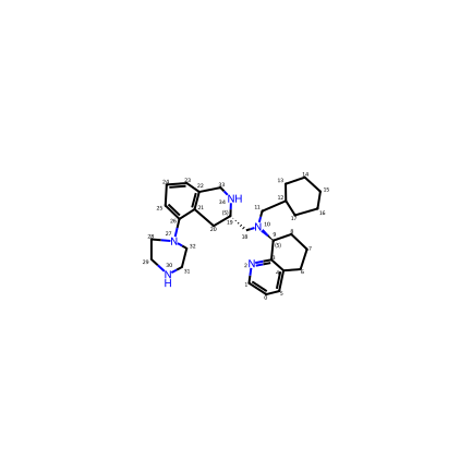 c1cnc2c(c1)CCC[C@@H]2N(CC1CCCCC1)C[C@@H]1Cc2c(cccc2N2CCNCC2)CN1